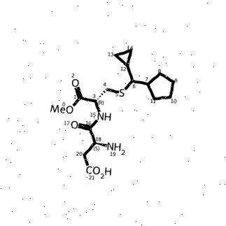 COC(=O)[C@H](CSC(C1CCCC1)C1CC1)NC(=O)[C@@H](N)CC(=O)O